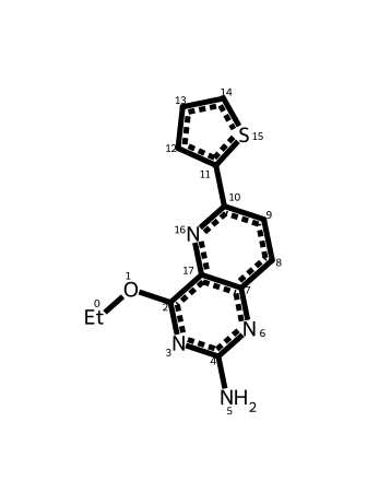 CCOc1nc(N)nc2ccc(-c3cccs3)nc12